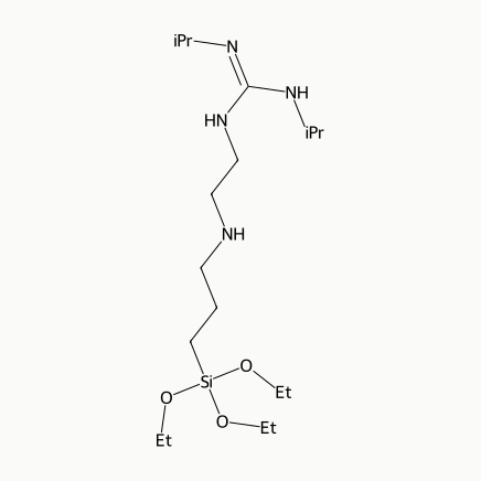 CCO[Si](CCCNCCN/C(=N\C(C)C)NC(C)C)(OCC)OCC